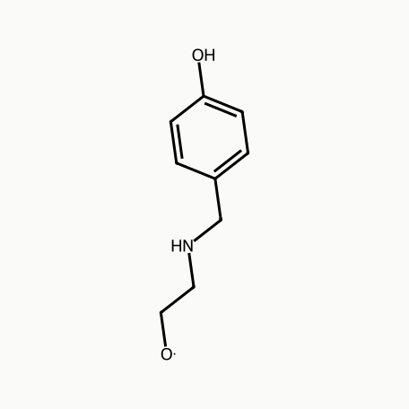 [O]CCNCc1ccc(O)cc1